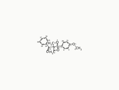 COc1ccc(S(=O)(=O)C(C)(C)C(=O)c2ccccc2)cc1